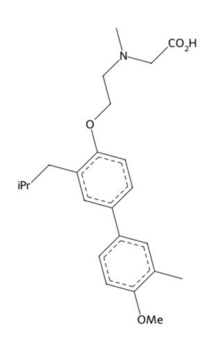 COc1ccc(-c2ccc(OCCN(C)CC(=O)O)c(CC(C)C)c2)cc1C